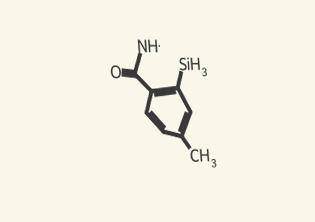 Cc1ccc(C([NH])=O)c([SiH3])c1